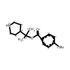 CC(C)(C)c1ccc(C(=O)OC(C)(C)C2CCNCC2)cc1